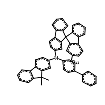 CC(C)(C)c1ccc2c(c1)C1(c3ccccc3-c3ccc(N(c4ccc(-c5ccccc5)cc4)c4ccc5c(c4)C(C)(C)c4ccccc4-5)cc31)c1ccccc1-2